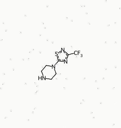 FC(F)(F)c1nsc(N2CCNCC2)n1